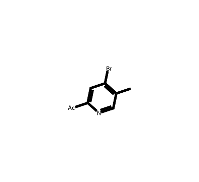 CC(=O)c1cc(Br)c(C)cn1